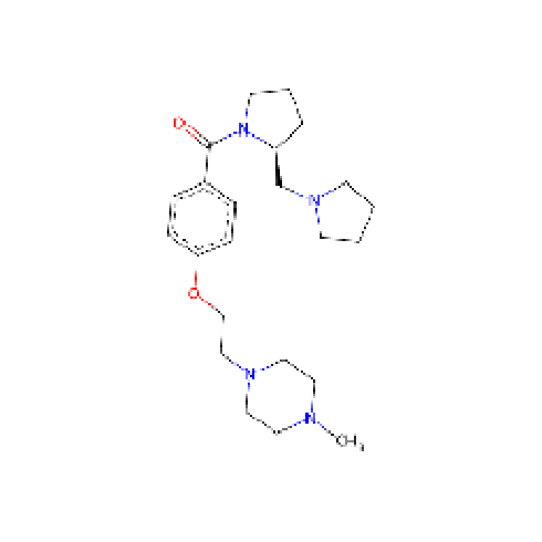 CN1CCN(CCOc2ccc(C(=O)N3CCC[C@H]3CN3CCCC3)cc2)CC1